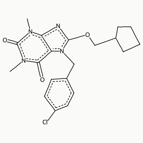 Cn1c(=O)c2c(nc(OCC3CCCC3)n2Cc2ccc(Cl)cc2)n(C)c1=O